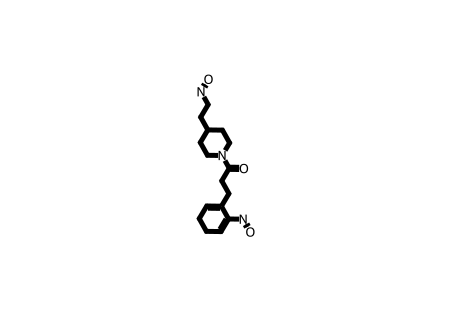 O=NCCC1CCN(C(=O)CCC2=CCCC=C2N=O)CC1